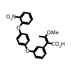 COC(C)=C(C(=O)O)c1cccc(Oc2ccc(Oc3ccccc3[N+](=O)[O-])cc2)c1